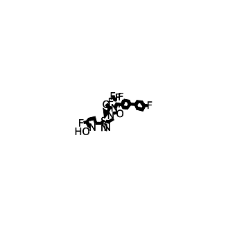 O=C1N([C@@H](c2ccc(-c3ccc(F)cc3)cc2F)C(F)(F)F)C(=O)C2(CC2)N1Cc1nnc(-c2ccc(F)c(O)n2)s1